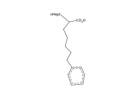 CCCCCCCC(CCCCCc1ccccc1)C(=O)O